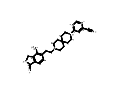 Cc1c(CCN2CCC3(CC2)CCN(c2cc(C#N)ncn2)CC3)ccc2c1COC2=O